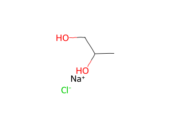 CC(O)CO.[Cl-].[Na+]